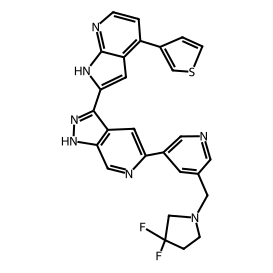 FC1(F)CCN(Cc2cncc(-c3cc4c(-c5cc6c(-c7ccsc7)ccnc6[nH]5)n[nH]c4cn3)c2)C1